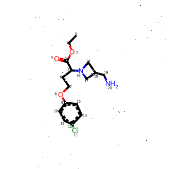 CCOC(=O)C(CCOc1ccc(Cl)cc1)N1CC(CN)C1